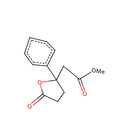 COC(=O)CC1(c2ccccc2)CCC(=O)O1